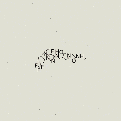 CCN(C[C@H]1CC[C@H](C(F)(F)F)CC1)c1ncnc(NCC2CCN(CC(N)=O)C[C@@H]2O)c1F